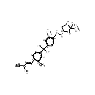 CCC(CC)(c1ccc(/C=C/C(O)C(C)(C)C)c(C)c1)c1ccc(OC[C@@H]2COC(C)(C)O2)c(C)c1